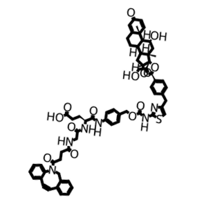 C[C@]12C=CC(=O)C=C1CC[C@@H]1[C@@H]2[C@@H](O)C[C@@]2(C)[C@H]1C[C@H]1O[C@H](c3ccc(Cc4csc(NC(=O)OCc5ccc(NC(=O)[C@H](CCC(=O)O)NC(=O)CNC(=O)CCC(=O)N6Cc7ccccc7C#Cc7ccccc76)cc5)n4)cc3)O[C@]12C(=O)CO